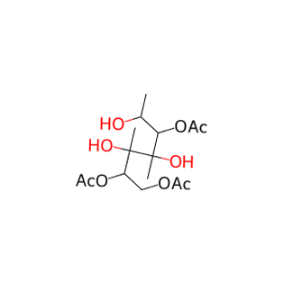 CC(=O)OCC(OC(C)=O)C(C)(O)C(C)(O)C(OC(C)=O)C(C)O